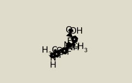 Cc1c(Oc2ccc(F)c(-c3ncc(C(C)c4cccc([C@@H]5C[C@H]5C(=O)O)c4F)[nH]3)c2)c(F)cc2[nH]ccc12